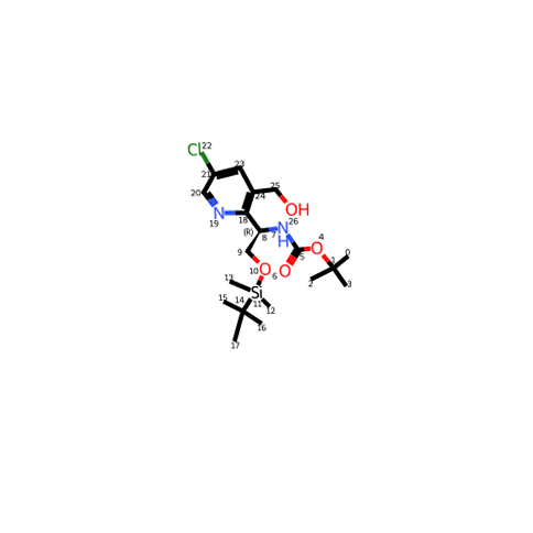 CC(C)(C)OC(=O)N[C@@H](CO[Si](C)(C)C(C)(C)C)c1ncc(Cl)cc1CO